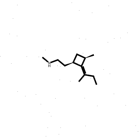 CC/C(C)=C1/[C@@H](CCNC)C[C@H]1C